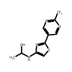 CC(O)Nc1csc(-c2cnc(C(F)(F)F)nc2)n1